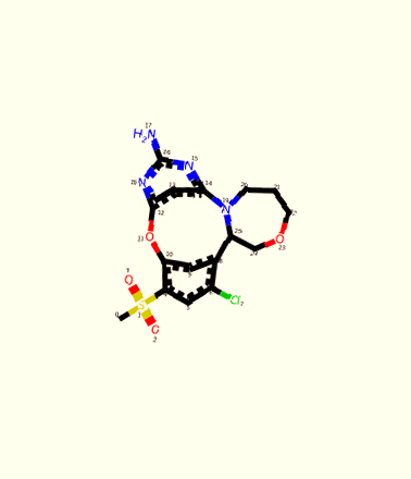 CS(=O)(=O)c1cc(Cl)c2cc1Oc1cc(nc(N)n1)N1CCCOCC21